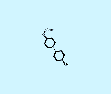 CCCCCOC1CCN([C@H]2CC[C@H](C#N)CC2)CC1